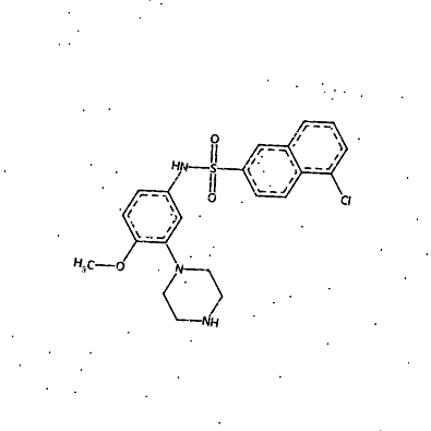 COc1ccc(NS(=O)(=O)c2ccc3c(Cl)cccc3c2)cc1N1CCNCC1